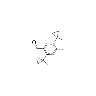 Cc1cc(C2(C)CC2)c(C=O)cc1C1(C)CC1